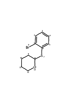 Brc1ccccc1SC1CCCCO1